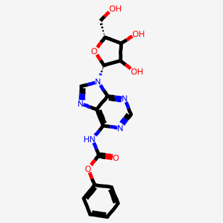 O=C(Nc1ncnc2c1ncn2[C@@H]1O[C@H](CO)C(O)C1O)Oc1ccccc1